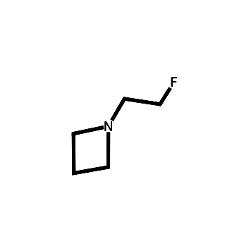 FCCN1CCC1